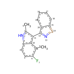 Cc1[nH]c2ccc(F)c(C)c2c1-c1nsc2ccccc12